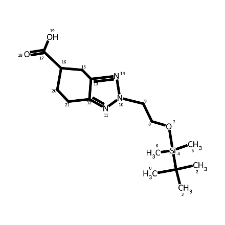 CC(C)(C)[Si](C)(C)OCCn1nc2c(n1)CC(C(=O)O)CC2